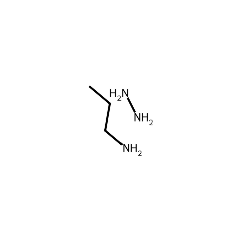 CCCN.NN